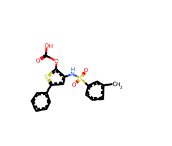 Cc1cccc(S(=O)(=O)Nc2cc(-c3ccccc3)sc2OC(=O)O)c1